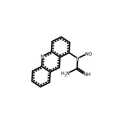 N=C(N)N(N=O)c1cccc2nc3ccccc3cc12